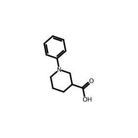 O=C(O)C1CCCN(c2ccccc2)C1